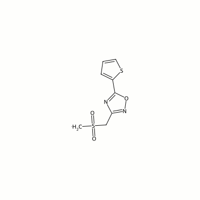 [CH2]S(=O)(=O)Cc1noc(-c2cccs2)n1